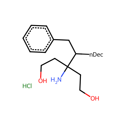 CCCCCCCCCCC(Cc1ccccc1)C(N)(CCO)CCO.Cl